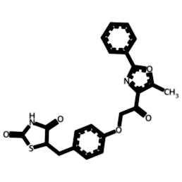 Cc1oc(-c2ccccc2)nc1C(=O)COc1ccc(CC2SC(=O)NC2=O)cc1